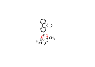 CCOB(OC(C)(C)CC)c1ccc2c(c1)C1(CCCCC1)c1ccccc1-2